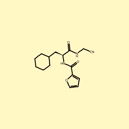 N#CCNC(=O)[C@H](CC1CCCCC1)NC(=O)c1ccco1